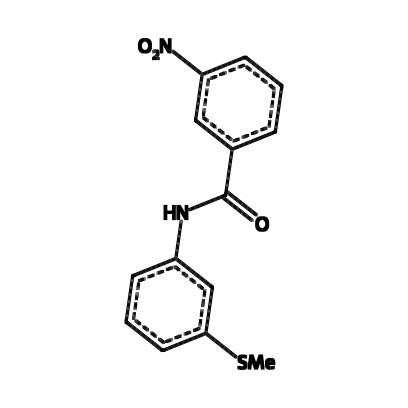 CSc1cccc(NC(=O)c2cccc([N+](=O)[O-])c2)c1